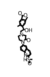 Cc1cc2c(cc1C(O)CN1CCN(c3ccc4nc([SH](C)(C)=O)ccc4c3)C(=O)C1)COC2=O